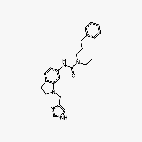 CCN(CCCc1ccccc1)C(=O)Nc1ccc2c(c1)N(Cc1c[nH]cn1)CC2